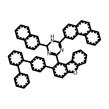 c1ccc(-c2ccccc2-c2ccc(-c3ccc4oc5ccccc5c4c3C3=NC(c4ccc5ccccc5c4)NC(c4ccc5ccc6ccccc6c5c4)=N3)cc2)cc1